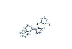 Fc1cccc(F)c1Cn1nnc(-c2cccc(S(F)(F)(F)(F)F)c2)n1